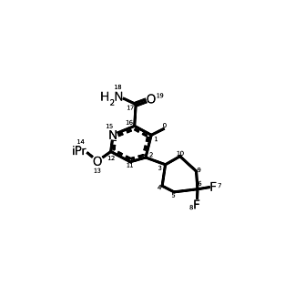 Cc1c(C2CCC(F)(F)CC2)cc(OC(C)C)nc1C(N)=O